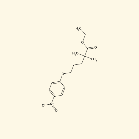 CCOC(=O)C(C)(C)CCCOc1ccc([N+](=O)[O-])cc1